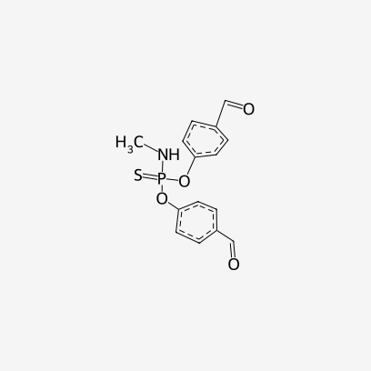 CNP(=S)(Oc1ccc(C=O)cc1)Oc1ccc(C=O)cc1